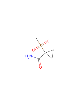 CS(=O)(=O)C1(C(N)=O)CC1